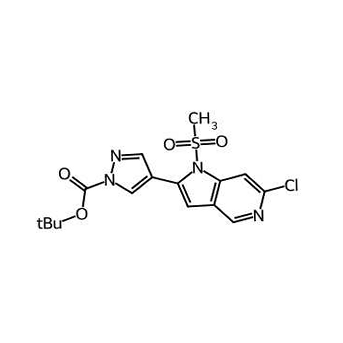 CC(C)(C)OC(=O)n1cc(-c2cc3cnc(Cl)cc3n2S(C)(=O)=O)cn1